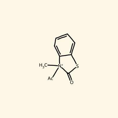 CC(=O)[N+]1(C)C(=O)Sc2ccccc21